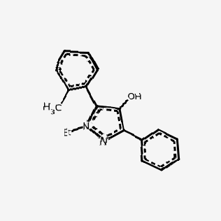 CCn1nc(-c2ccccc2)c(O)c1-c1ccccc1C